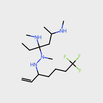 C=CC(CCCC(F)(F)F)NN(C)C(CC)(CC(C)NC)NC